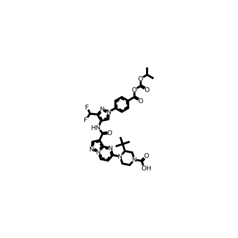 CC(C)OC(=O)OC(=O)c1ccc(-n2cc(NC(=O)c3cnn4ccc(N5CCN(C(=O)O)CC5C(C)(C)C)nc34)c(C(F)F)n2)cc1